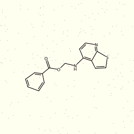 O=C(OCNc1ccnc2sccc12)c1ccccc1